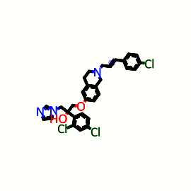 OC(COc1ccc2c(c1)CCN(C/C=C/c1ccc(Cl)cc1)C2)(Cn1ccnc1)c1ccc(Cl)cc1Cl